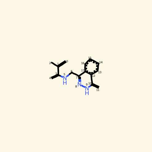 C=C(C)C(=C)NCC1=NNC(=C)c2ccccc21